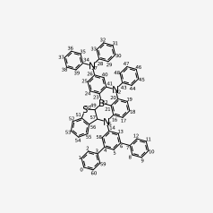 c1ccc(-c2cc(-c3ccccc3)cc(N3c4cccc5c4B(c4ccc(N(c6ccccc6)c6ccccc6)cc4N5c4ccccc4)C4Sc5ccccc5C43)c2)cc1